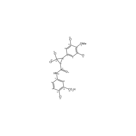 COc1c(Cl)cc(C2C(C(=O)Nc3ccc(Cl)c(C(=O)O)c3)C2(Cl)Cl)cc1Cl